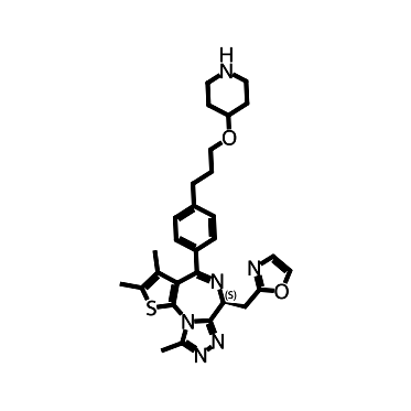 Cc1sc2c(c1C)C(c1ccc(CCCOC3CCNCC3)cc1)=N[C@@H](Cc1ncco1)c1nnc(C)n1-2